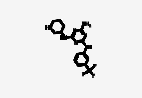 Nc1nc(Nc2cccc(C(F)(F)F)c2)nc(NC2CCCNC2)n1